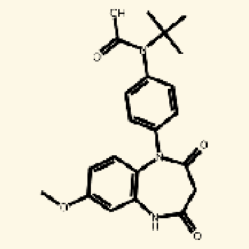 COc1ccc2c(c1)NC(=O)CC(=O)N2c1ccc(N(C(=O)O)C(C)(C)C)cc1